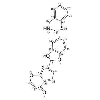 O=c1ccoc2cc(C3Oc4ccc(C5NCc6ccccc6S5)cc4O3)ccc12